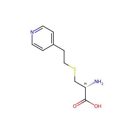 N[C@@H](CSCCc1ccncc1)C(=O)O